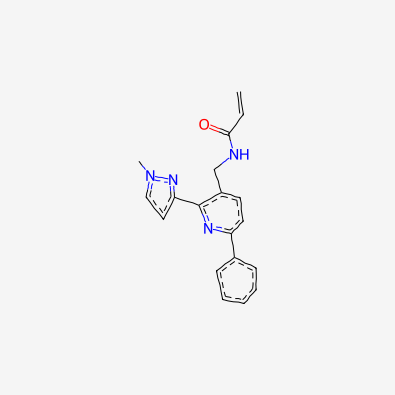 C=CC(=O)NCc1ccc(-c2ccccc2)nc1-c1ccn(C)n1